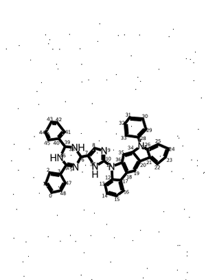 c1ccc(C2=NC(c3cnc(-n4c5ccccc5c5cc6c7ccccc7n(-c7ccccc7)c6cc54)[nH]3)NC(c3ccccc3)N2)cc1